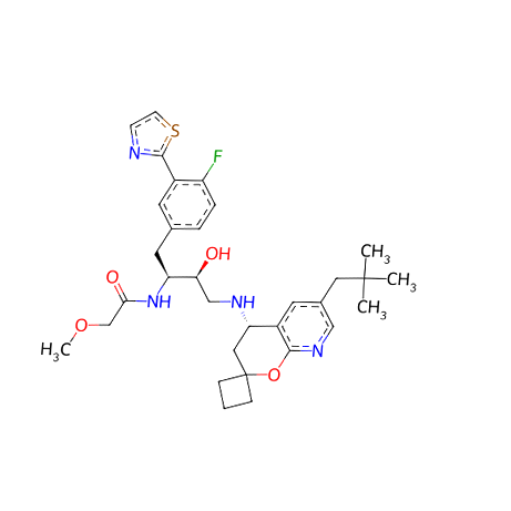 COCC(=O)N[C@@H](Cc1ccc(F)c(-c2nccs2)c1)[C@@H](O)CN[C@H]1CC2(CCC2)Oc2ncc(CC(C)(C)C)cc21